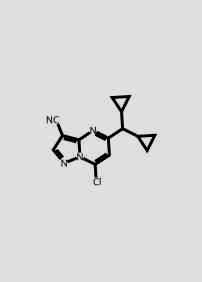 N#Cc1cnn2c(Cl)cc(C(C3CC3)C3CC3)nc12